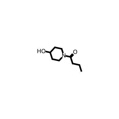 CCCC(=O)N1CCC(O)CC1